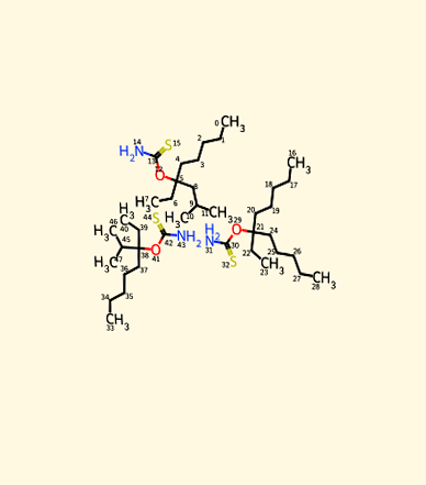 CCCCCC(CC)(CC(C)C)OC(N)=S.CCCCCC(CC)(CCCCC)OC(N)=S.CCCCCC(CC)(OC(N)=S)C(C)C